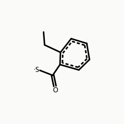 CCc1ccccc1C(=O)[S]